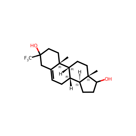 C[C@]12CCC(O)(C(F)(F)F)CC1=CC[C@@H]1[C@H]2CC[C@]2(C)C(O)CC[C@@H]12